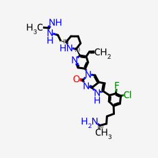 C=Cc1cc(-n2cc3cc(-c4cc(CCC[C@H](C)N)cc(Cl)c4F)[nH]c3nc2=O)cnc1[C@@H]1CCC[C@@H](CCNC(C)=N)N1